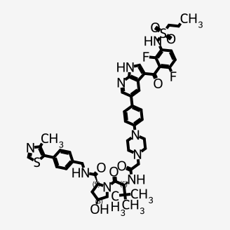 CCCS(=O)(=O)Nc1ccc(F)c(C(=O)c2c[nH]c3ncc(-c4ccc(N5CCN(CC(=O)N[C@H](C(=O)N6C[C@@H](O)C[C@H]6C(=O)NCc6ccc(-c7scnc7C)cc6)C(C)(C)C)CC5)cc4)cc23)c1F